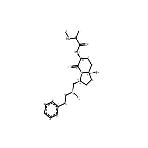 CNC(C)C(=O)N[C@H]1CC[C@H]2CC[C@@H](C[S+]([O-])CCc3ccccc3)N2C1=O